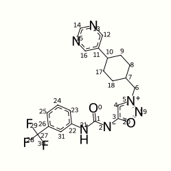 O=C([N-]c1c[n+](CC2CCC(c3cncnc3)CC2)no1)Nc1cccc(C(F)(F)F)c1